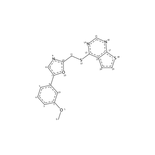 COc1cccc(-c2cnc(CSc3ncnc4sccc34)o2)c1